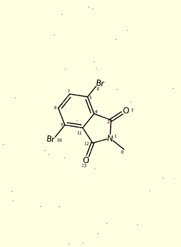 CN1C(=O)c2c(Br)ccc(Br)c2C1=O